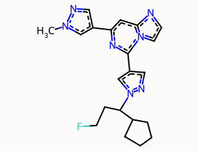 Cn1cc(-c2cc3nccn3c(-c3cnn(C(CCF)C4CCCC4)c3)n2)cn1